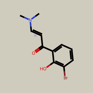 CN(C)/C=C/C(=O)c1cccc(Br)c1O